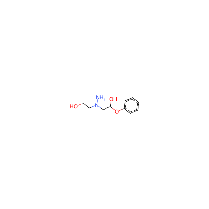 NN(CCO)CC(O)Oc1ccccc1